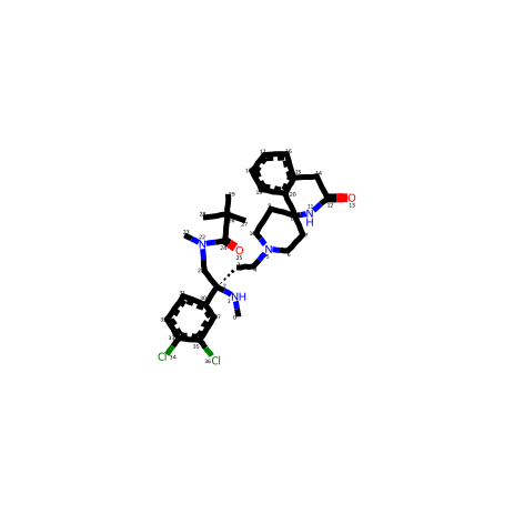 CN[C@](CCN1CCC2(CC1)NC(=O)Cc1ccccc12)(CN(C)C(=O)C(C)(C)C)c1ccc(Cl)c(Cl)c1